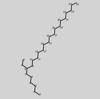 [CH2]CCCCCC(CC)CCCCCCCCCCCCCCCCC